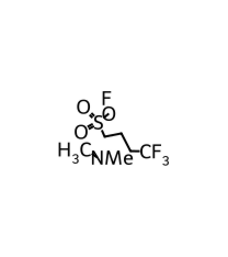 CNC.O=S(=O)(CCCC(F)(F)F)OF